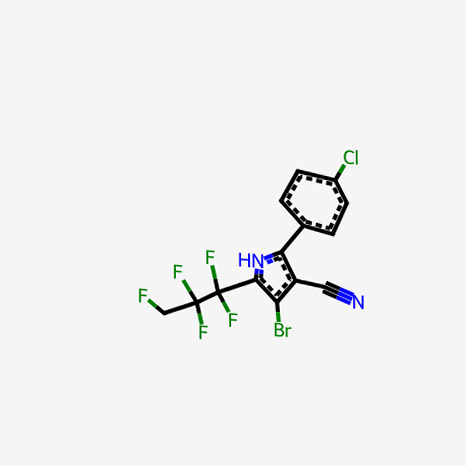 N#Cc1c(-c2ccc(Cl)cc2)[nH]c(C(F)(F)C(F)(F)CF)c1Br